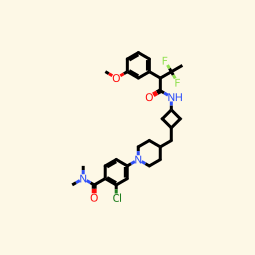 COc1cccc(C(C(=O)NC2CC(CC3CCN(c4ccc(C(=O)N(C)C)c(Cl)c4)CC3)C2)C(C)(F)F)c1